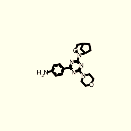 Nc1ccc(-c2nc(N3CCOCC3)nc(N3OCC4CCC3C4)n2)cc1